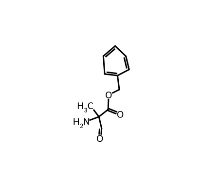 CC(N)(C=O)C(=O)OCc1ccccc1